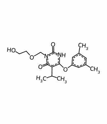 Cc1cc(C)cc(Oc2[nH]c(=O)n(COCCO)c(=O)c2C(C)C)c1